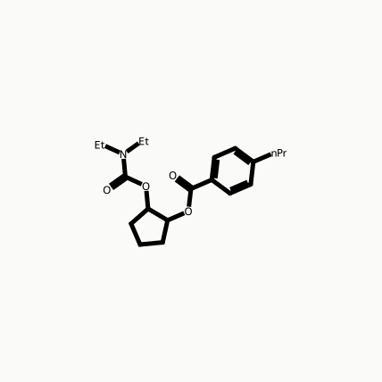 CCCc1ccc(C(=O)OC2CCCC2OC(=O)N(CC)CC)cc1